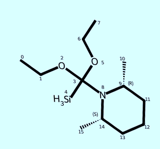 CCOC([SiH3])(OCC)N1[C@H](C)CCC[C@@H]1C